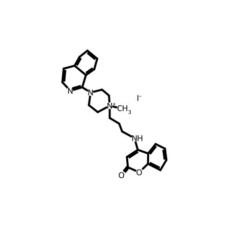 C[N+]1(CCCNc2cc(=O)oc3ccccc23)CCN(c2nccc3ccccc23)CC1.[I-]